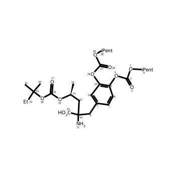 CCCC(C)OC(=O)Oc1ccc(CC(N)(C[C@H](C)OC(=O)OC(C)(C)CC)C(=O)O)cc1OC(=O)OC(C)CCC